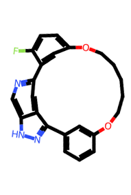 Fc1ccc2cc1-c1cc3c(n[nH]c3cn1)-c1cccc(c1)OCCCCCO2